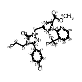 COC(=O)c1nc(Cn2nc(-c3ccc(Cl)cc3)n(CCF)c2=O)nn1-c1ncccc1C(F)(F)F